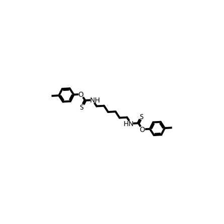 Cc1ccc(OC(=S)NCCCCCCNC(=S)Oc2ccc(C)cc2)cc1